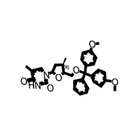 COc1ccc(C(OCC2OC(n3cc(C)c(=O)[nH]c3=O)C[C@H]2C)(c2ccccc2)c2ccc(OC)cc2)cc1